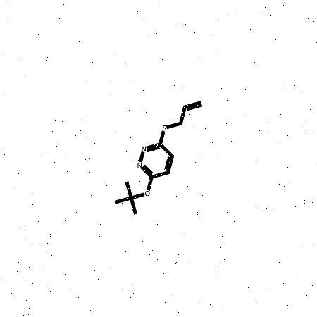 C=CCSc1ccc(OC(C)(C)C)nn1